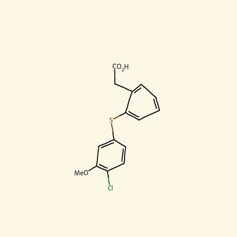 COc1cc(Sc2ccccc2CC(=O)O)ccc1Cl